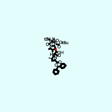 CC1C(SC2(C(C)O)C(=O)N3C(C(=O)OC(c4ccccc4)c4ccccc4)=C[C@@H](C)[C@H]32)CC(N(C(=O)OC(C)(C)C)S(N)(=O)=O)N1C(=O)OC(C)(C)C